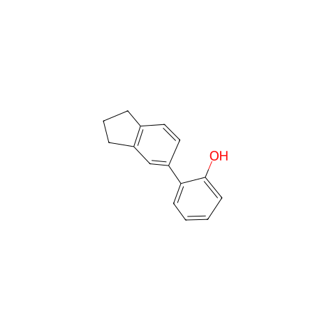 Oc1ccccc1-c1ccc2c(c1)CCC2